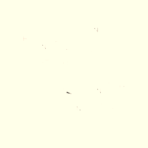 C[C@@H]1CN(Cc2ccccc2)[C@@H](C)CN1C(=O)c1ccc2[nH]cc(C(=O)C(=O)N(C)C)c2c1